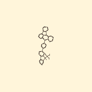 CC1(C(I)(I)I)c2ccccc2-c2ccc(-c3ccc(-c4c5ccccc5c5c6c(cccc46)-c4ccccc4-5)cc3)cc21